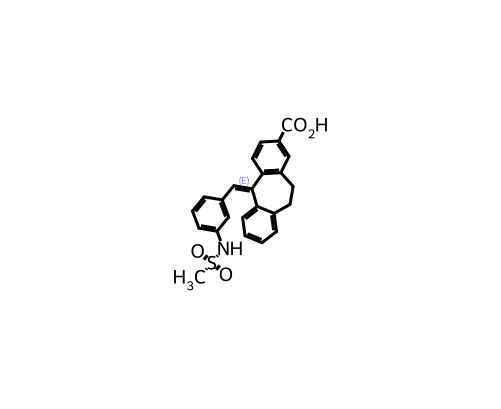 CS(=O)(=O)Nc1cccc(/C=C2\c3ccccc3CCc3cc(C(=O)O)ccc32)c1